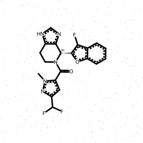 Cn1nc(C(F)F)cc1C(=O)N1CCc2[nH]cnc2[C@@H]1c1oc2ccccc2c1F